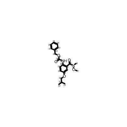 CON(C)C(=O)c1cc(OCC(C)C)ccc1NC(=O)OCc1ccccc1